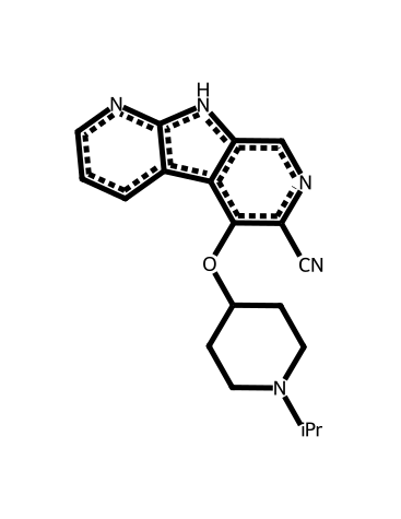 CC(C)N1CCC(Oc2c(C#N)ncc3[nH]c4ncccc4c23)CC1